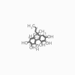 CCCC(C)(C)c1cc(O)c(O)c(O)c1-c1c(C)cc(O)c(O)c1O